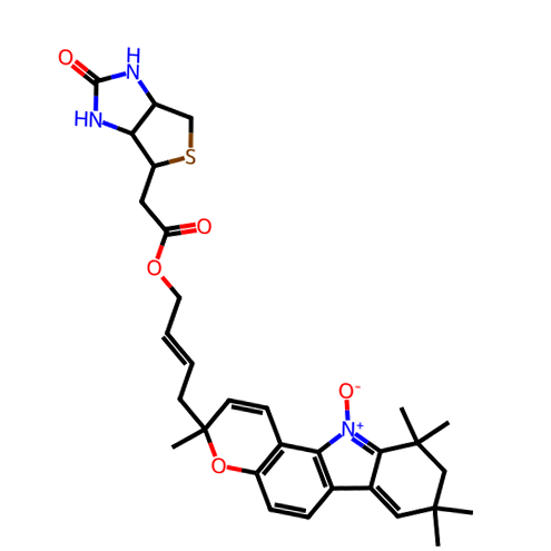 CC1(C)C=C2C(=[N+]([O-])c3c2ccc2c3C=CC(C)(C/C=C/COC(=O)CC3SCC4NC(=O)NC43)O2)C(C)(C)C1